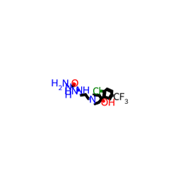 NNC(=O)NNCCCN1CCC(O)(c2cc(C(F)(F)F)ccc2Cl)CC1